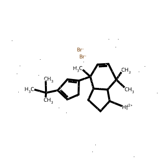 CC(C)(C)C1=CCC(C2(C)C=CC(C)(C)C3[CH]([Hf+2])CCC32)=C1.[Br-].[Br-]